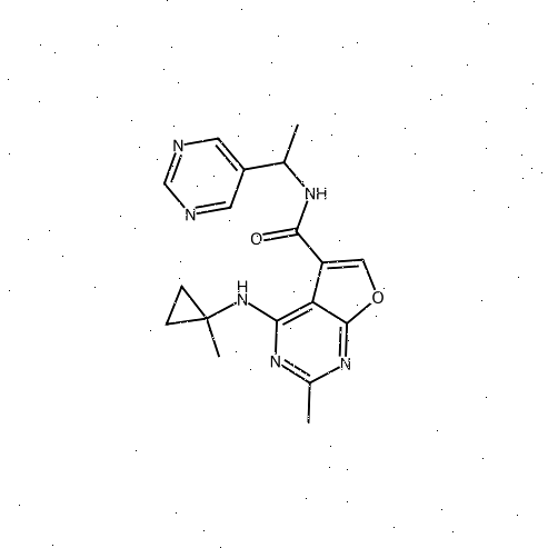 Cc1nc(NC2(C)CC2)c2c(C(=O)NC(C)c3cncnc3)coc2n1